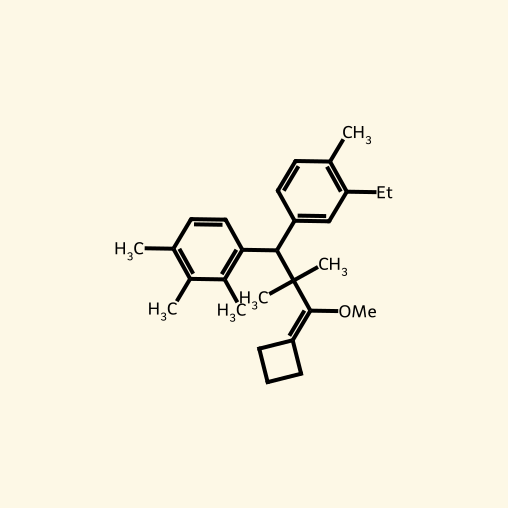 CCc1cc(C(c2ccc(C)c(C)c2C)C(C)(C)C(OC)=C2CCC2)ccc1C